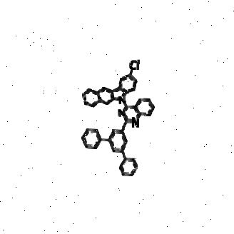 Clc1ccc2c(c1)c1cc3ccccc3cc1n2-c1nc(-c2cc(-c3ccccc3)cc(-c3ccccc3)c2)nc2ccccc12